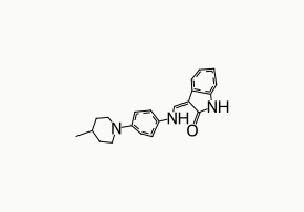 CC1CCN(c2ccc(NC=C3C(=O)Nc4ccccc43)cc2)CC1